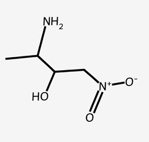 CC(N)C(O)C[N+](=O)[O-]